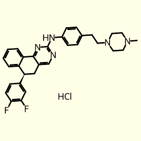 CN1CCN(CCc2ccc(Nc3ncc4c(n3)-c3ccccc3[C@H](c3ccc(F)c(F)c3)C4)cc2)CC1.Cl